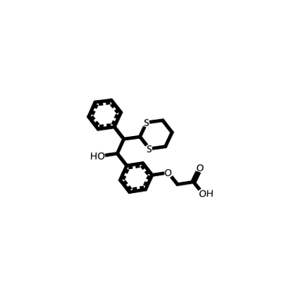 O=C(O)COc1cccc(C(O)C(c2ccccc2)C2SCCCS2)c1